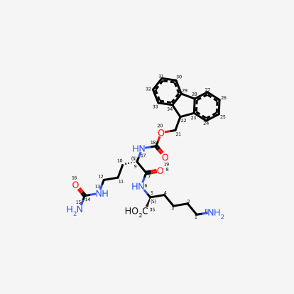 NCCCC[C@H](NC(=O)[C@H](CCCNC(N)=O)NC(=O)OCC1c2ccccc2-c2ccccc21)C(=O)O